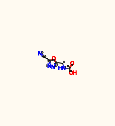 N#Cc1nnc(CNC(=O)O)o1